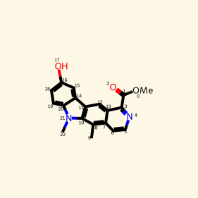 COC(=O)c1nccc2c(C)c3c(cc12)c1cc(O)ccc1n3C